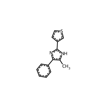 Cc1[nH]c(-c2ccsc2)nc1-c1ccccc1